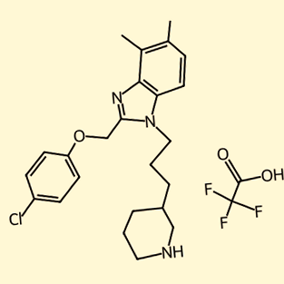 Cc1ccc2c(nc(COc3ccc(Cl)cc3)n2CCCC2CCCNC2)c1C.O=C(O)C(F)(F)F